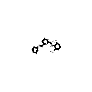 Cc1cccc(C)c1N=Cc1cccc(C=Nc2ccccc2)n1